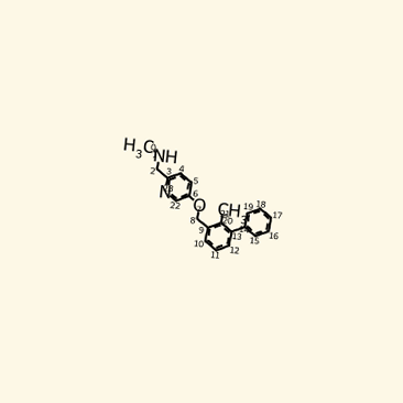 CNCc1ccc(OCc2cccc(-c3ccccc3)c2C)cn1